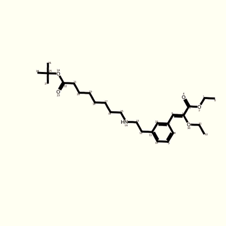 CCOC(=O)C(=Cc1cccc(CCNCCCCCCCC(=O)OC(C)(C)C)c1)OCC